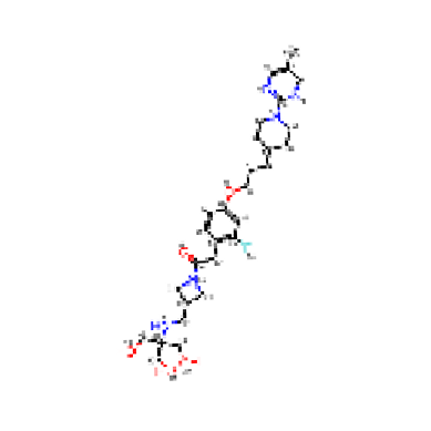 CCc1cnc(N2CCC(CCCOc3ccc(CC(=O)N4CC(CNC(CO)(CO)CO)C4)c(F)c3)CC2)nc1